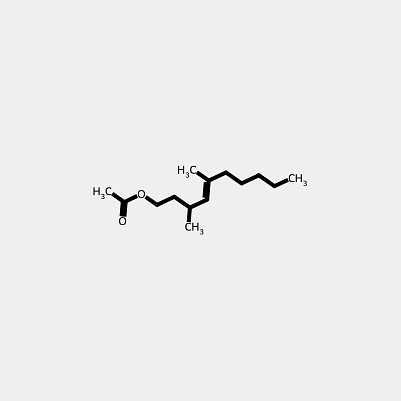 CCCCCC(C)=CC(C)CCOC(C)=O